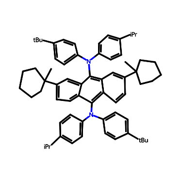 CC(C)c1ccc(N(c2ccc(C(C)(C)C)cc2)c2c3ccc(C4(C)CCCCC4)cc3c(N(c3ccc(C(C)C)cc3)c3ccc(C(C)(C)C)cc3)c3cc(C4(C)CCCCC4)ccc23)cc1